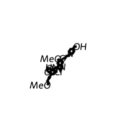 COCCC#Cc1cc(Cl)c(Nc2ncnc3cc(OCCCN4CCC(CO)CC4)c(OC)cc23)c2c1OCO2